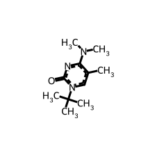 Cc1cn(C(C)(C)C)c(=O)nc1N(C)C